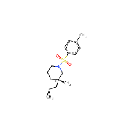 C=CC[C@]1(C)CCCN(S(=O)(=O)c2ccc(C)cc2)C1